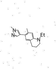 CCN1CCCc2cc(-c3cnn(C)c3)c(C)cc21